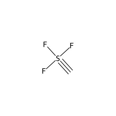 C#S(F)(F)F